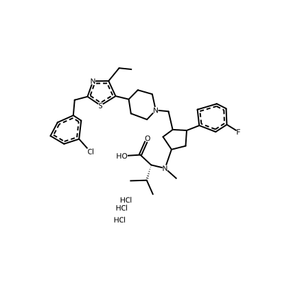 CCc1nc(Cc2cccc(Cl)c2)sc1C1CCN(CC2CC(N(C)[C@@H](C(=O)O)C(C)C)CC2c2cccc(F)c2)CC1.Cl.Cl.Cl